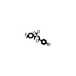 CC1N(CC(=O)c2ccc(Br)cc2)C(=O)OC12CCC(C)(F)CC2